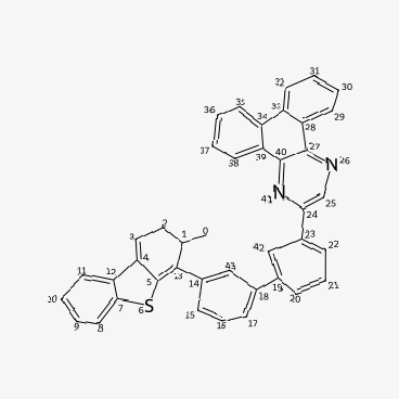 CC1CC=c2c(sc3ccccc23)=C1c1cccc(-c2cccc(-c3cnc4c5ccccc5c5ccccc5c4n3)c2)c1